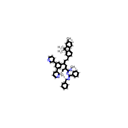 C=CC(=C\C(=C/Cc1ccc2c(c1)C(C)(C)c1cc(C)ccc1-2)c1cc(-c2cccnc2)cc(-c2cccnc2)c1)/C(N=C)=N/C(=N\Cc1ccccc1)c1ccccc1